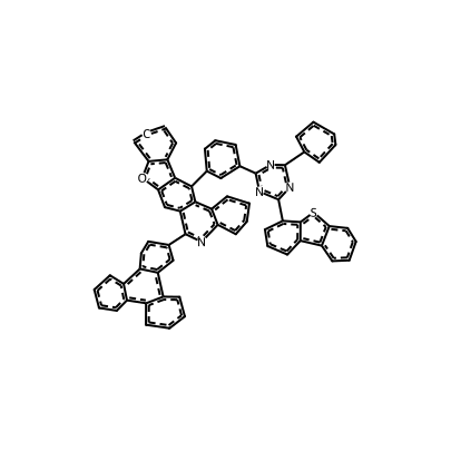 c1ccc(-c2nc(-c3cccc(-c4c5c(cc6c(-c7ccc8c9ccccc9c9ccccc9c8c7)nc7ccccc7c46)oc4ccccc45)c3)nc(-c3cccc4c3sc3ccccc34)n2)cc1